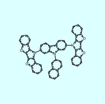 c1ccc2cc(-n3c4cc(-n5c6c7ccccc7oc6c6oc7ccccc7c65)ccc4c4ccc(-n5c6c7ccccc7oc6c6oc7ccccc7c65)cc43)ccc2c1